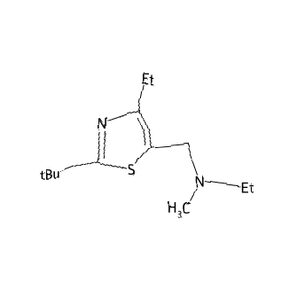 CCc1nc(C(C)(C)C)sc1CN(C)CC